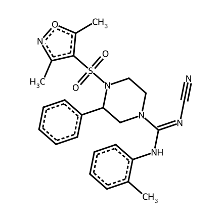 Cc1ccccc1N/C(=N/C#N)N1CCN(S(=O)(=O)c2c(C)noc2C)C(c2ccccc2)C1